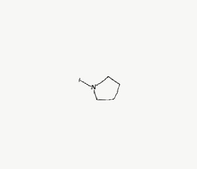 IN1CCCC1